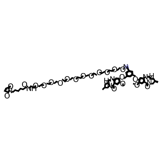 C=C1C[C@H]2C=Nc3cc(OCc4cc(/C=N\OCCOCCOCCOCCOCCOCCOCCOCCOCCOCCOCCOCCNC(=O)CCCCCN5C(=O)C=CC5=O)cc(COc5cc6c(cc5OC)C(=O)N5CC(C)C[C@H]5C=N6)c4)c(OC)cc3C(=O)N2C1